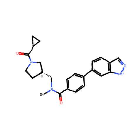 CCN(C[C@@H]1CCN(C(=O)C2CC2)C1)C(=O)c1ccc(-c2ccc3cn[nH]c3c2)cc1